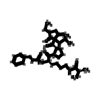 COC1CC(=O)C(NC(C)C)(C(=O)[C@@H]2CCCN2C(=O)[C@H](CCCCNC(=O)[C@H](C)N)NC(=O)OCc2ccccc2)C1=O